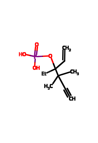 C#CC(C)(C)C(C=C)(CC)OP(=O)(O)O